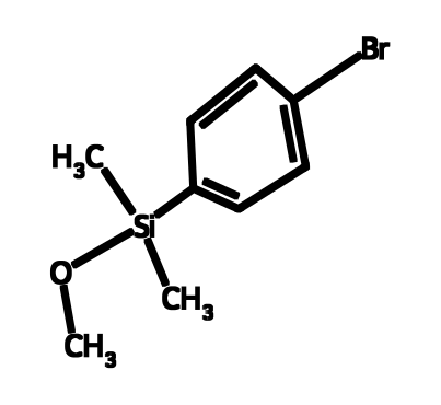 CO[Si](C)(C)c1ccc(Br)cc1